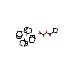 C1C[C]2([Mo]([C]34CCC(CC3)C4)([C]34CCC(CC3)C4)[C]34CCC(CC3)C4)CCC1C2.O=[C]([Mo])C(=O)C(=O)C(=O)C1CCC1